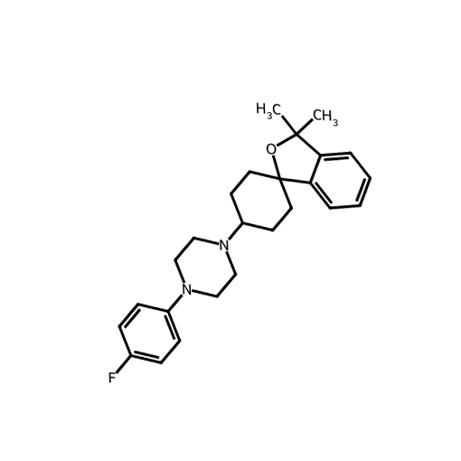 CC1(C)OC2(CCC(N3CCN(c4ccc(F)cc4)CC3)CC2)c2ccccc21